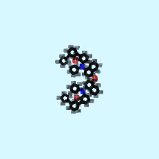 c1ccc(N(c2cc3c4cc(N(c5ccccc5)c5cccc6c5oc5c(C7CCCC7)cccc56)c5ccccc5c4oc3c3ccccc23)c2cccc3c2oc2c(C4CCCC4)cccc23)cc1